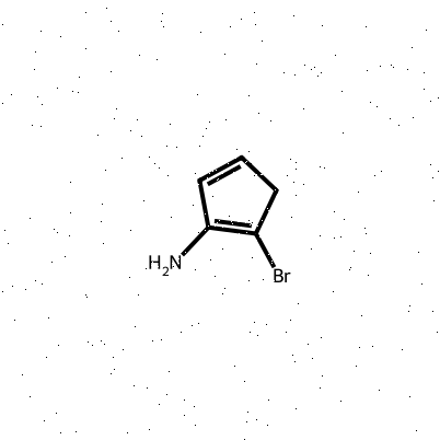 NC1=C(Br)CC=C1